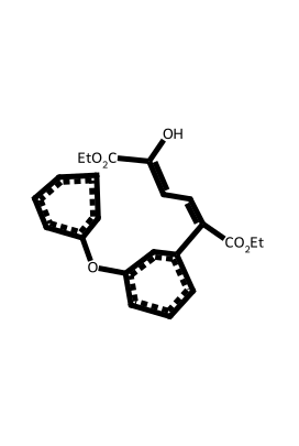 CCOC(=O)/C(O)=C/C=C(/C(=O)OCC)c1cccc(Oc2ccccc2)c1